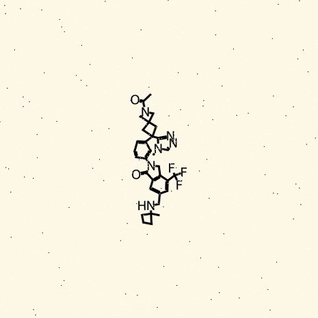 CC(=O)N1CC2(C1)CC(c1cccc(N3Cc4c(cc(CNC5(C)CCC5)cc4C(F)(F)F)C3=O)c1)(c1nncn1C)C2